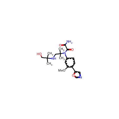 COc1cc(N(C(=O)C(N)=O)C(C)(C)CNC(C)(C)CO)ccc1-c1cnco1